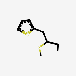 CCC([CH]c1cccs1)SC